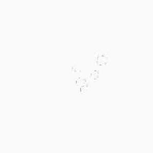 O=C(c1ccc(=O)n2c1-c1sc(-c3ccccc3)cc1CC2)N1CCC(O)CC1